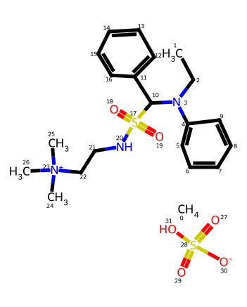 C.CCN(c1ccccc1)C(c1ccccc1)S(=O)(=O)NCC[N+](C)(C)C.O=S(=O)([O-])O